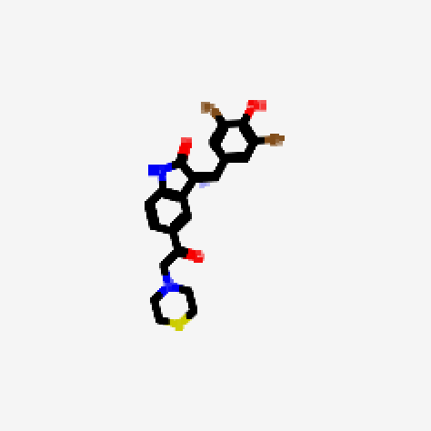 O=C1Nc2ccc(C(=O)CN3CCSCC3)cc2/C1=C/c1cc(Br)c(O)c(Br)c1